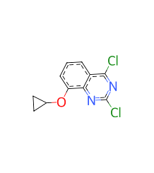 Clc1nc(Cl)c2cccc(OC3CC3)c2n1